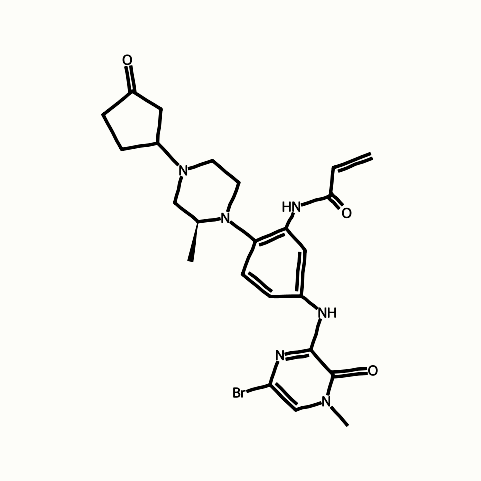 C=CC(=O)Nc1cc(Nc2nc(Br)cn(C)c2=O)ccc1N1CCN(C2CCC(=O)C2)C[C@@H]1C